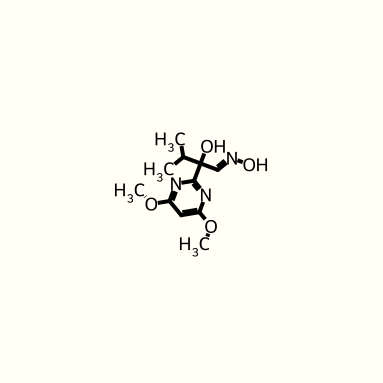 COc1cc(OC)nc(C(O)(C=NO)C(C)C)n1